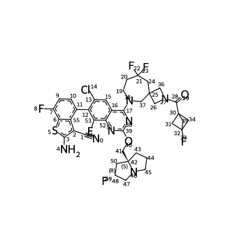 N#Cc1c(N)sc2c(F)ccc(-c3c(Cl)cc4c(N5CCC(F)(F)CC6(CN(C(=O)C78CC(F)(C7)C8)C6)C5)nc(OC[C@@]56CCCN5C[C@H](F)C6)nc4c3F)c12